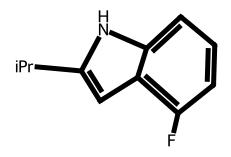 CC(C)c1cc2c(F)cccc2[nH]1